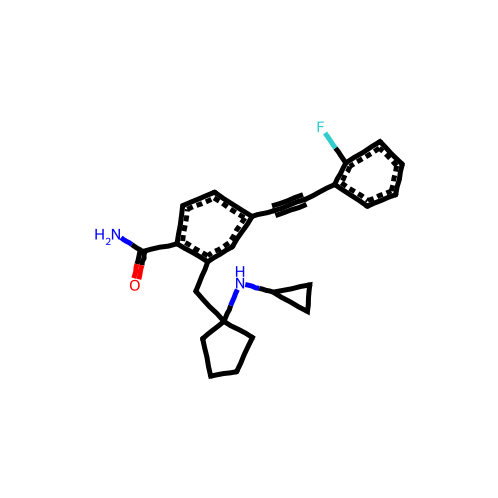 NC(=O)c1ccc(C#Cc2ccccc2F)cc1CC1(NC2CC2)CCCC1